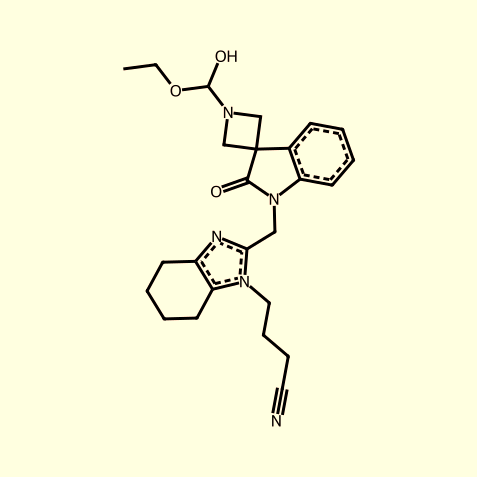 CCOC(O)N1CC2(C1)C(=O)N(Cc1nc3c(n1CCCC#N)CCCC3)c1ccccc12